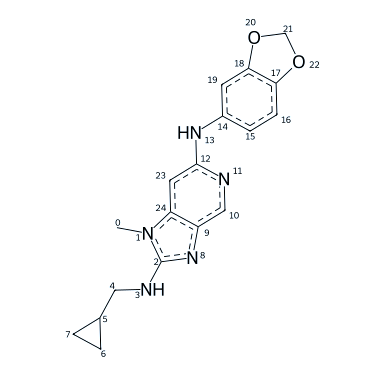 Cn1c(NCC2CC2)nc2cnc(Nc3ccc4c(c3)OCO4)cc21